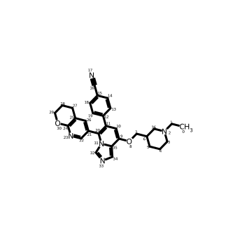 CCN1CCCC(COc2cc(-c3ccc(C#N)cc3)c(-c3cnc4c(c3)CCCO4)n3cncc23)C1